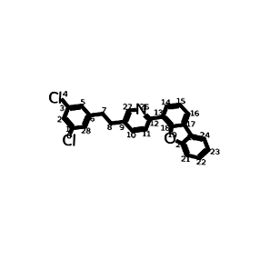 Clc1cc(Cl)cc(CCc2ccc(-c3cccc4c3oc3ccccc34)nc2)c1